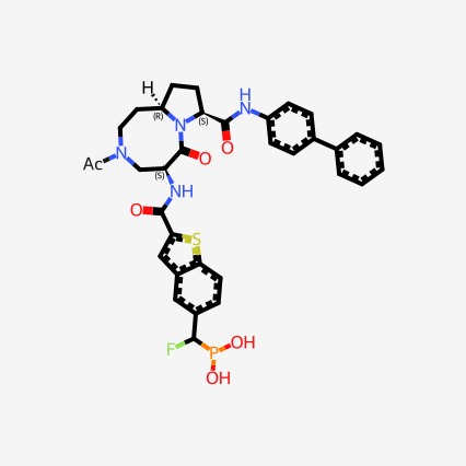 CC(=O)N1CC[C@H]2CC[C@@H](C(=O)Nc3ccc(-c4ccccc4)cc3)N2C(=O)[C@@H](NC(=O)c2cc3cc(C(F)P(O)O)ccc3s2)C1